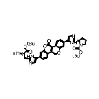 CCCN(Cc1ncc(-c2ccc3c4c(c(=O)oc3c2)-c2ccc(-c3cnc([C@@H]5CCCN5C(=O)OC(C)(C)C)[nH]3)cc2OC4)[nH]1)C(=O)OC(C)(C)C